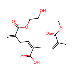 C=C(C)C(=O)OC.C=C(CC=C(C)C(=O)O)C(=O)OCCO